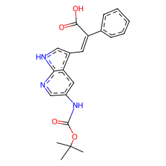 CC(C)(C)OC(=O)Nc1cnc2[nH]cc(C=C(C(=O)O)c3ccccc3)c2c1